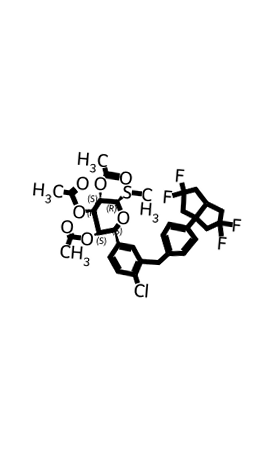 CS[C@H]1O[C@@H](c2ccc(Cl)c(Cc3ccc(C45CC(F)(F)CC4CC(F)(F)C5)cc3)c2)[C@H](OC(C)=O)[C@@H](OC(C)=O)[C@@H]1OC(C)=O